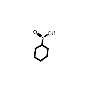 O=S(O)C1CCCCC1